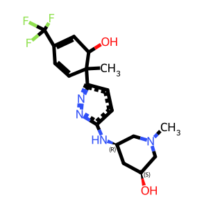 CN1C[C@@H](O)C[C@@H](Nc2ccc(C3(C)C=CC(C(F)(F)F)=CC3O)nn2)C1